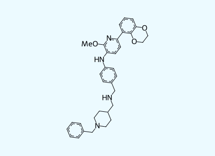 COc1nc(-c2cccc3c2OCCO3)ccc1Nc1ccc(CNCC2CCN(Cc3ccccc3)CC2)cc1